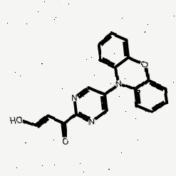 O=C(C=CO)c1ncc(N2c3ccccc3Oc3ccccc32)cn1